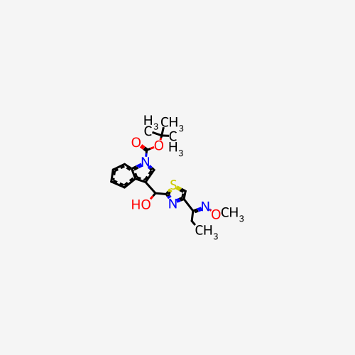 CC/C(=N\OC)c1csc(C(O)c2cn(C(=O)OC(C)(C)C)c3ccccc23)n1